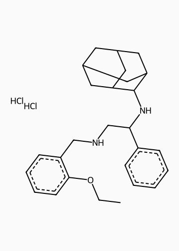 CCOc1ccccc1CNCC(NC1C2CC3CC(C2)CC1C3)c1ccccc1.Cl.Cl